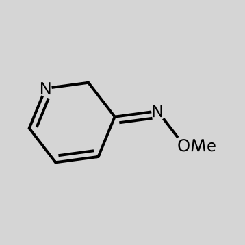 CON=C1C=CC=NC1